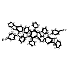 CC(C)c1ccc(N(c2cccc3c2oc2ccccc23)c2cccc3c2c2cccc4c5c(-c6ccccc6)c6c(c(-c7ccccc7)c5n3c24)c2cccc3c4c(N(c5ccc(C(C)C)cc5)c5cccc7c5oc5ccccc57)cccc4n6c32)cc1